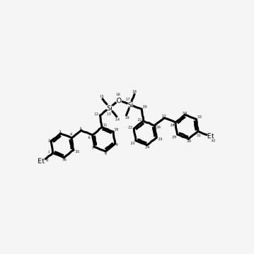 CCc1ccc(Cc2ccccc2C[Si](C)(C)O[Si](C)(C)Cc2ccccc2Cc2ccc(CC)cc2)cc1